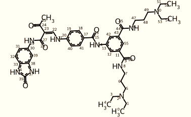 CCN(CC)CCCNC(=O)c1cc(NC(=O)c2ccc(N/C=C(/C(C)=O)C(=O)Nc3ccc4[nH]c(=O)[nH]c4c3)cc2)cc(C(=O)NCCCN(CC)CC)c1